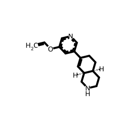 C=COc1cncc(C2=C[C@@H]3CNCC[C@@H]3CC2)c1